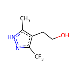 Cc1[nH]nc(C(F)(F)F)c1CCO